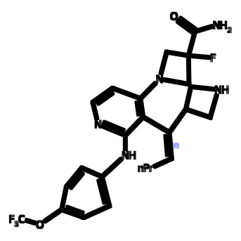 CCC/C=C(\c1c(N2CC(F)(C(N)=O)C2)ccnc1Nc1ccc(OC(F)(F)F)cc1)C1CNC1